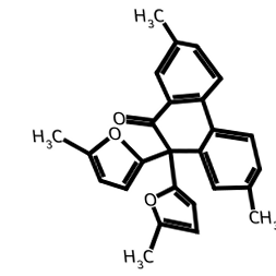 Cc1ccc2c(c1)C(=O)C(c1ccc(C)o1)(c1ccc(C)o1)c1cc(C)ccc1-2